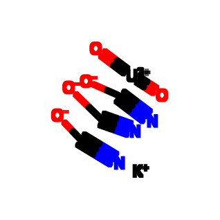 N#C[O-].N#C[O-].N#C[O-].[K+].[O]=[U+2]=[O]